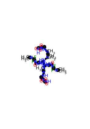 C[C@@H]1CC(N(C)CCNc2cccc3c2CN(C2CCC(=O)NC2=O)C3=O)C[C@@H]1CN(C)CCCNc1cc(N2CCC3(CC2)CN(c2cc(F)c(CN4CCC(C)(C)CC4)cc2F)CC(=O)N3)nc(-c2nc(N(C)C[C@H]3CN(CCNc4cccc5c4CN(C4CCC(=O)NC4=O)C5=O)C[C@H]3I)cc(N3CCC4(CC3)CN(c3cc(F)c(CN5CCC(C)(C)CC5)cc3F)CC(=O)N4)n2)n1